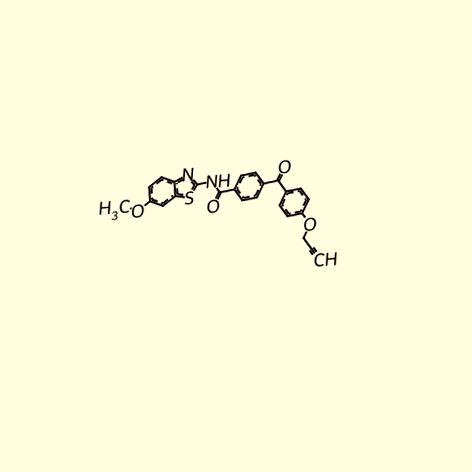 C#CCOc1ccc(C(=O)c2ccc(C(=O)Nc3nc4ccc(OC)cc4s3)cc2)cc1